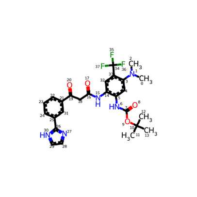 CN(C)c1cc(NC(=O)OC(C)(C)C)c(NC(=O)CC(=O)c2cccc(-c3ncc[nH]3)c2)cc1C(F)(F)F